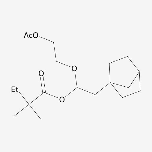 CCC(C)(C)C(=O)OC(CC12CCC(CC1)C2)OCCOC(C)=O